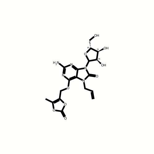 C=CCn1c(=O)n(C2O[C@H](CO)[C@@H](O)[C@H]2O)c2nc(N)nc(OCc3oc(=O)oc3C)c21